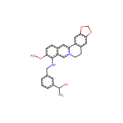 COc1ccc2cc3[n+](cc2c1NCc1cccc(B(C)O)c1)CCc1cc2c(cc1-3)OCO2